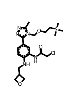 Cc1nnc(-c2ccc(NCC3COC3)c(NC(=O)CCl)c2)n1COCC[Si](C)(C)C